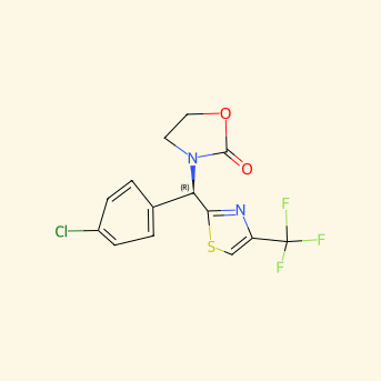 O=C1OCCN1[C@H](c1ccc(Cl)cc1)c1nc(C(F)(F)F)cs1